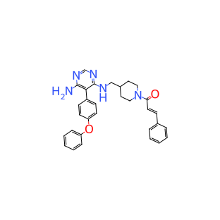 Nc1ncnc(NCC2CCN(C(=O)C=Cc3ccccc3)CC2)c1-c1ccc(Oc2ccccc2)cc1